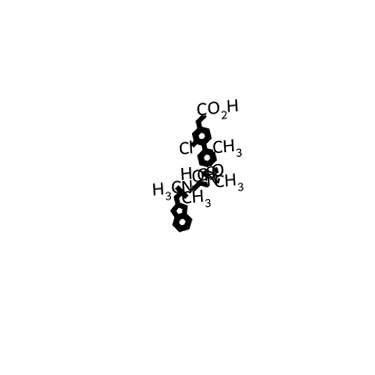 Cc1cc(S(=O)(=O)N(C)C[C@H](O)CNC(C)(C)CC2Cc3ccccc3C2)ccc1-c1ccc(CCC(=O)O)cc1Cl